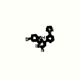 O=c1cc(-c2cccc(-n3cccn3)c2)c2[nH]c3ccc(Cl)cc3c2[nH]1